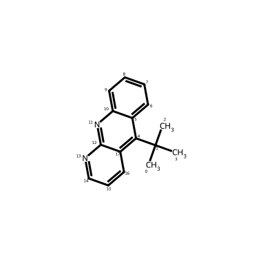 CC(C)(C)c1c2ccccc2nc2ncccc12